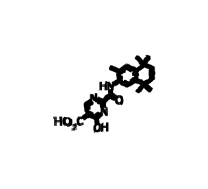 Cc1cc2c(cc1NC(=O)c1ncc(C(=O)O)c(O)n1)C(C)(C)C=CC2(C)C